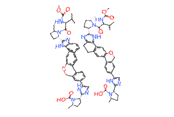 COC(=O)N[C@H](C(=O)N1C(C)CC[C@H]1c1nc2ccc3cc4c(cc3c2[nH]1)OCc1cc(-c2cnc([C@@H]3CCC(C)N3C(=O)O)[nH]2)ccc1-4)C(C)C.COC(=O)N[C@H](C(=O)N1[C@@H](C)CC[C@H]1c1nc2c([nH]1)-c1cc3c(cc1CC2)-c1ccc(-c2cnc(C4CCC(C)N4C(=O)O)[nH]2)cc1CO3)C(C)C